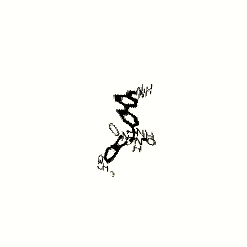 COc1ccc2c(c1)C(=O)N(C[C@@]1(c3ccc(-c4ccc5cn[nH]c5c4)cc3)NC(=O)NC1=O)C2